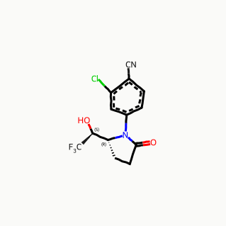 N#Cc1ccc(N2C(=O)CC[C@@H]2[C@H](O)C(F)(F)F)cc1Cl